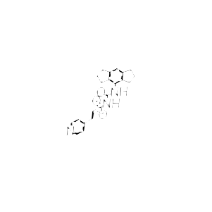 O=C(Nc1c2c(cc3c1CCC3)CCC2)NS(=O)(=O)/C=C/c1ccncc1